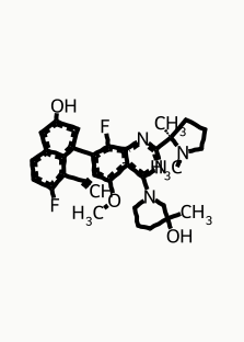 C#Cc1c(F)ccc2cc(O)cc(-c3cc(OC)c4c(N5CCCC(C)(O)C5)nc([C@@]5(C)CCCN5C)nc4c3F)c12